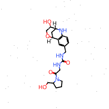 O=C(NCC(=O)N1CCCC1CO)NCc1ccc2c(c1)[C@@H]1C[C@@H](N2)[C@H](O)CO1